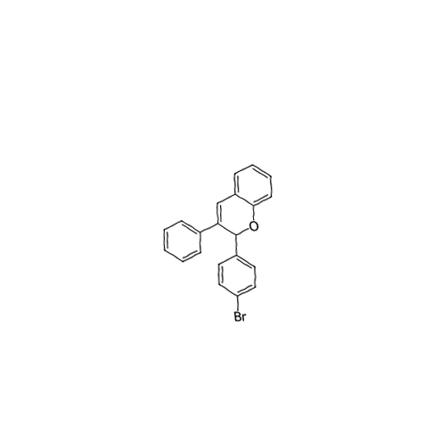 Brc1ccc(C2Oc3ccccc3C=C2c2ccccc2)cc1